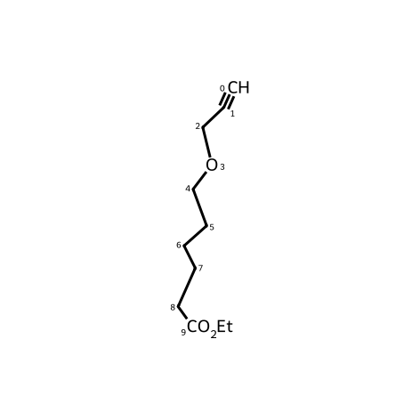 C#CCOCCCCCC(=O)OCC